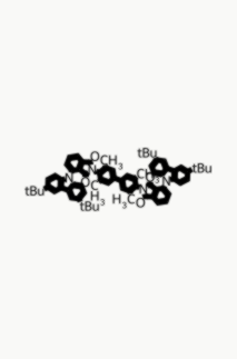 Cc1cc(-c2cc(C)c(N3C(=O)c4cccc(-n5c6ccc(C(C)(C)C)cc6c6cc(C(C)(C)C)ccc65)c4C3=O)c(C)c2)cc(C)c1N1C(=O)c2cccc(-n3c4ccc(C(C)(C)C)cc4c4cc(C(C)(C)C)ccc43)c2C1=O